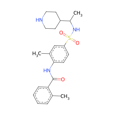 Cc1cc(S(=O)(=O)NC(C)C2CCNCC2)ccc1NC(=O)c1ccccc1C